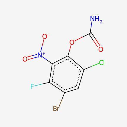 NC(=O)Oc1c(Cl)cc(Br)c(F)c1[N+](=O)[O-]